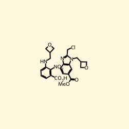 COC(=O)c1ccc2nc(CCl)n(CC3COC3)c2c1.O=C(O)c1cccc(NCC2COC2)c1[N+](=O)[O-]